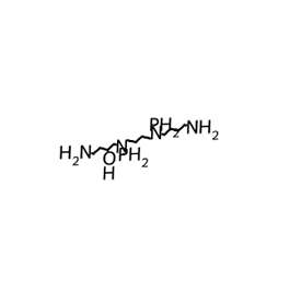 NCCCCN(P)CCCCN(P)C[C@@H](O)CCN